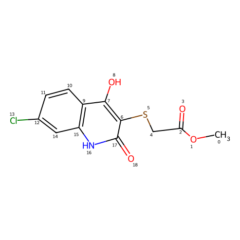 COC(=O)CSc1c(O)c2ccc(Cl)cc2[nH]c1=O